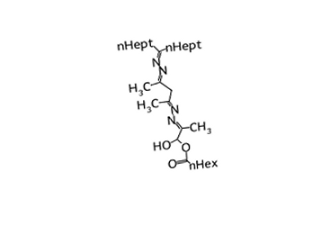 CCCCCCCC(CCCCCCC)=N/N=C(\C)C/C(C)=N/N=C(\C)C(O)OC(=O)CCCCCC